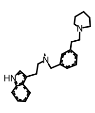 CN(CCc1c[nH]c2ccccc12)Cc1cccc(CCN2CCCCC2)c1